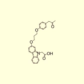 CC(=O)Cc1ccc(OCCCOc2ccc3c4ccccc4n(CC(=O)O)c3c2)cc1